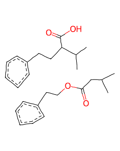 CC(C)C(CCc1ccccc1)C(=O)O.CC(C)CC(=O)OCCc1ccccc1